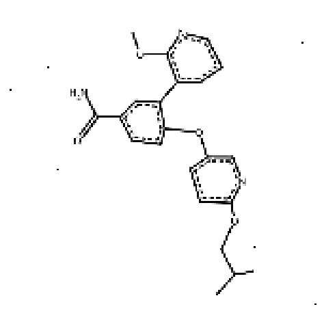 COc1ncccc1-c1cc(C(N)=O)ccc1Oc1ccc(OCC(C)C)nc1